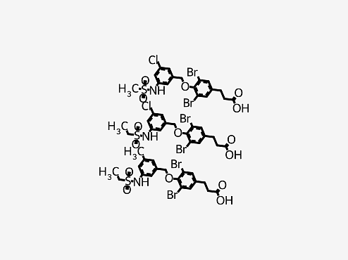 CCS(=O)(=O)Nc1cc(C)cc(COc2c(Br)cc(CCC(=O)O)cc2Br)c1.CCS(=O)(=O)Nc1cc(Cl)cc(COc2c(Br)cc(CCC(=O)O)cc2Br)c1.CS(=O)(=O)Nc1cc(Cl)cc(COc2c(Br)cc(CCC(=O)O)cc2Br)c1